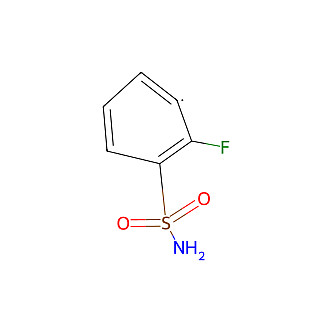 NS(=O)(=O)c1ccc[c]c1F